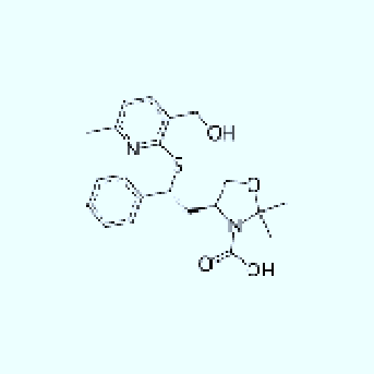 Cc1ccc(CO)c(S[C@H](C[C@H]2COC(C)(C)N2C(=O)O)c2ccccc2)n1